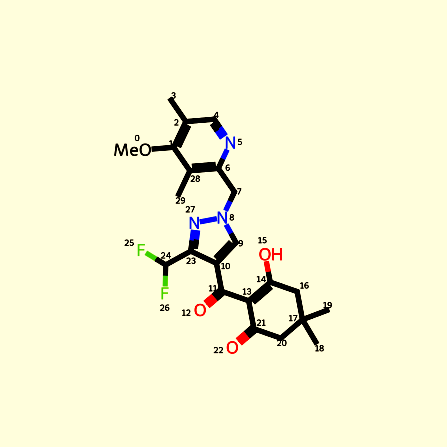 COc1c(C)cnc(Cn2cc(C(=O)C3=C(O)CC(C)(C)CC3=O)c(C(F)F)n2)c1C